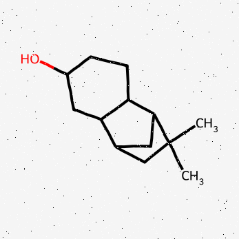 CC1(C)CC2CC1C1CCC(O)CC21